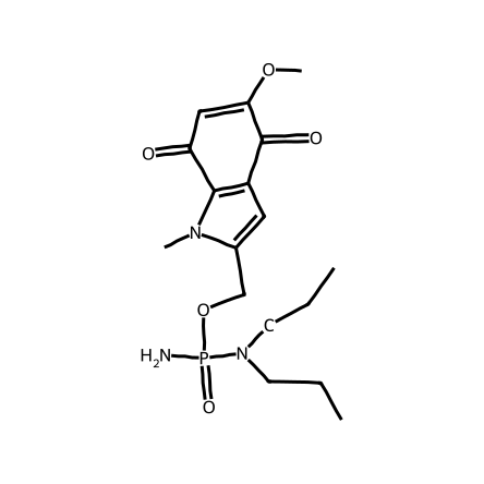 CCCN(CCC)P(N)(=O)OCc1cc2c(n1C)C(=O)C=C(OC)C2=O